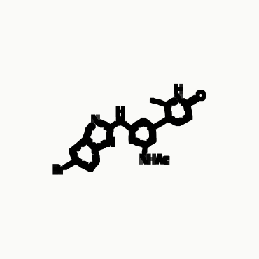 CC(=O)Nc1cc(Nc2ncc3cc(Br)ccc3n2)cc(-c2ccc(=O)[nH]c2C)c1